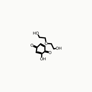 O=C1C=CC(=O)C(O)=C1.OCCOCCO